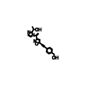 C=C(c1cc(C#Cc2ccc(CO)cc2)on1)n1ccnc1C(C)O